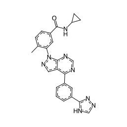 Cc1ccc(C(=O)NC2CC2)cc1-n1ncc2c(-c3cccc(-c4nnc[nH]4)c3)ncnc21